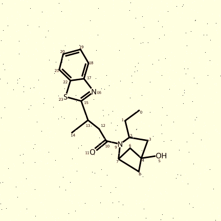 CCC1CC2(O)CC(C2)N1C(=O)CC(C)c1nc2ccccc2s1